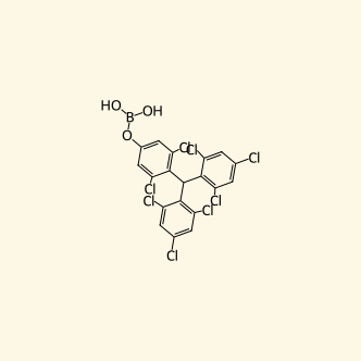 OB(O)Oc1cc(Cl)c(C(c2c(Cl)cc(Cl)cc2Cl)c2c(Cl)cc(Cl)cc2Cl)c(Cl)c1